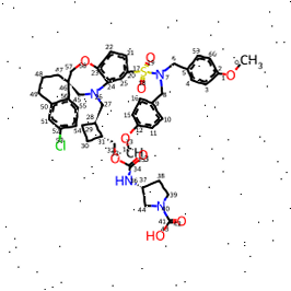 COc1ccc(CN(Cc2ccc(OC)cc2)S(=O)(=O)c2ccc3c(c2)N(C[C@@H]2CC[C@H]2COC(=O)N[C@@H]2CCN(C(=O)O)C2)C[C@@]2(CCCc4cc(Cl)ccc42)CO3)cc1